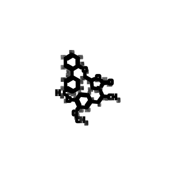 COc1ccc(CC(C)N2CC(COc3ccccc3-c3ccccc3)OC2=O)cc1OC